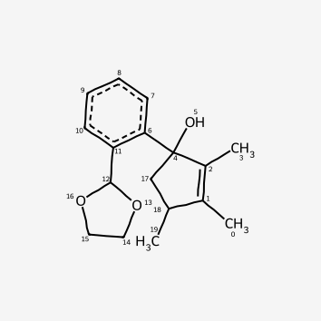 CC1=C(C)C(O)(c2ccccc2C2OCCO2)CC1C